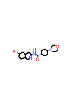 O=C(Nc1cc2cc(Br)ccc2cn1)[C@H]1CC[C@H](N2CCOCC2)CC1